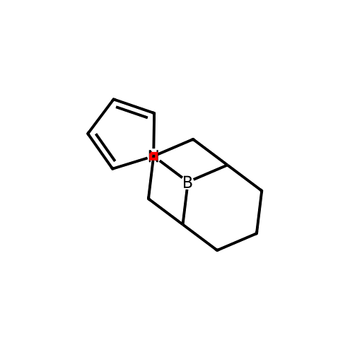 c1ccn(B2C3CCCC2CCC3)c1